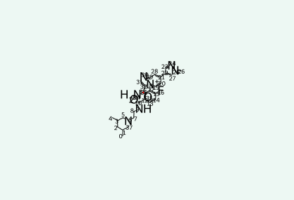 CC1CC(C)CN(CCNC(=O)c2ccc(F)c([N+]34C=CC(c5cnn(C)c5)=CC3=NC=C4C(N)=O)c2)C1